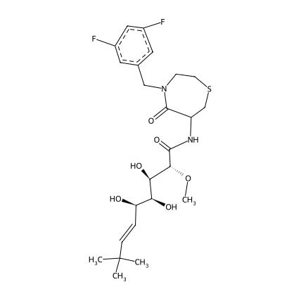 CO[C@@H](C(=O)NC1CSCCN(Cc2cc(F)cc(F)c2)C1=O)[C@H](O)[C@@H](O)[C@H](O)/C=C/C(C)(C)C